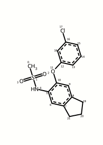 CS(=O)(=O)Nc1cc2c(cc1Oc1cccc(Cl)c1)CCC2